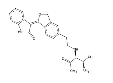 COC(=O)[C@@H](NCCc1ccc2c(c1)COC2=C1C(=O)Nc2ccccc21)[C@H](C)O